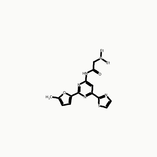 CCN(CC)CC(=O)Nc1cc(-c2nccs2)nc(-c2ccc(C)o2)n1